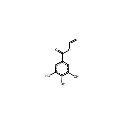 C=COC(=O)c1cc(O)c(O)c(O)c1